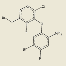 O=[N+]([O-])c1cc(F)c(Br)cc1Oc1c(Cl)ccc(CBr)c1F